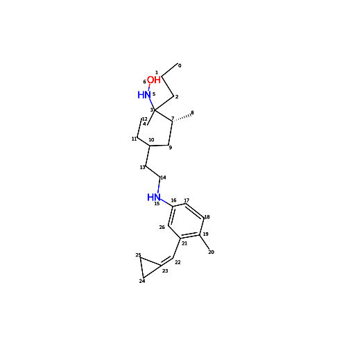 CCCC(C)(NO)[C@H](C)CC(CC)CCNc1ccc(C)c(C=C2CC2)c1